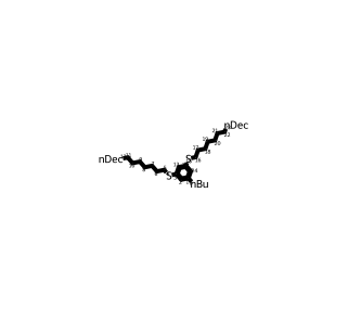 [CH2]CCCc1cc(SCCCCCCCCCCCCCCCCC)cc(SCCCCCCCCCCCCCCCCC)c1